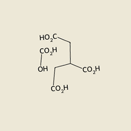 O=C(O)CC(CC(=O)O)C(=O)O.O=C(O)O